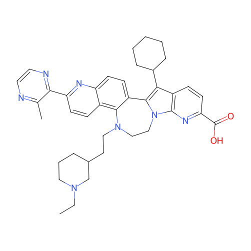 CCN1CCCC(CCN2CCn3c(c(C4CCCCC4)c4ccc(C(=O)O)nc43)-c3ccc4nc(-c5nccnc5C)ccc4c32)C1